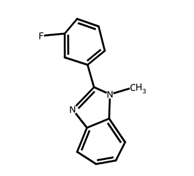 Cn1c(-c2cccc(F)c2)nc2ccccc21